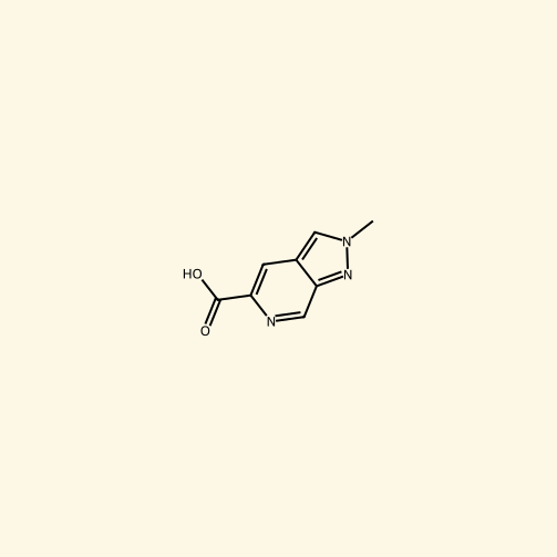 Cn1cc2cc(C(=O)O)ncc2n1